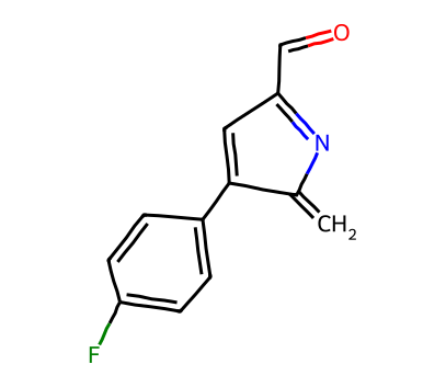 C=C1N=C(C=O)C=C1c1ccc(F)cc1